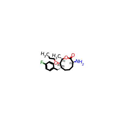 CCCO[C@@H]1[C@@H](Cc2ccc(F)cc2)CCC[C@H](N)C(=O)O[C@H]1C